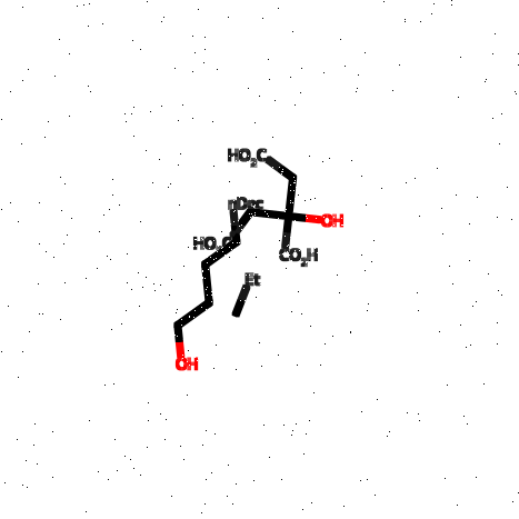 CCC.CCCCCCCCCCCCCCO.O=C(O)CC(O)(CC(=O)O)C(=O)O